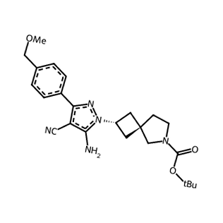 COCc1ccc(-c2nn([C@H]3C[C@]4(CCN(C(=O)OC(C)(C)C)C4)C3)c(N)c2C#N)cc1